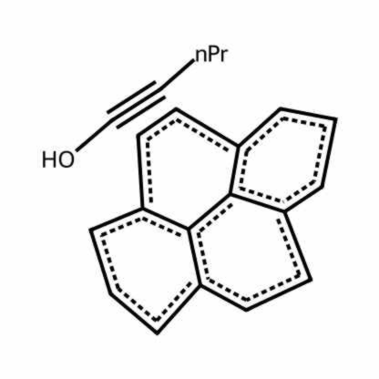 CCCC#CO.c1cc2ccc3cccc4ccc(c1)c2c34